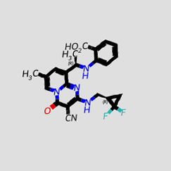 Cc1cc([C@@H](C)Nc2ccccc2C(=O)O)c2nc(NC[C@H]3CC3(F)F)c(C#N)c(=O)n2c1